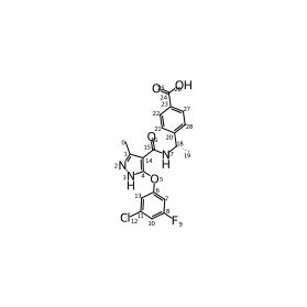 Cc1n[nH]c(Oc2cc(F)cc(Cl)c2)c1C(=O)N[C@@H](C)c1ccc(C(=O)O)cc1